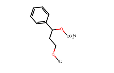 CCOCCC(OC(=O)O)c1ccccc1